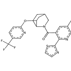 Cc1cnc(-c2nccs2)c(C(=O)N2CC3CCC2C(Oc2ccc(C(F)(F)F)cn2)C3)c1